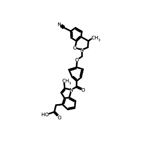 Cc1cc2c(CC(=O)O)cccc2n1C(=O)c1ccc(OCN2CC(C)c3ccc(C#N)cc3O2)cc1